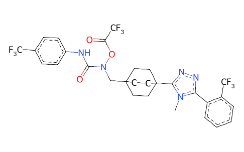 Cn1c(-c2ccccc2C(F)(F)F)nnc1C12CCC(CN(OC(=O)C(F)(F)F)C(=O)Nc3ccc(C(F)(F)F)cc3)(CC1)CC2